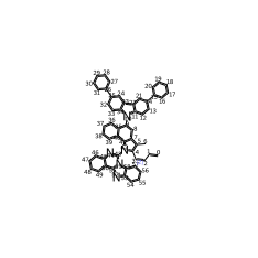 C=C/C=C\c1c(C)c2cc(-n3c4ccc(-c5ccccc5)cc4c4cc(-c5ccccc5)ccc43)c3ccccc3c2n1-c1nc2ccccc2c2nc3ccccc3n12